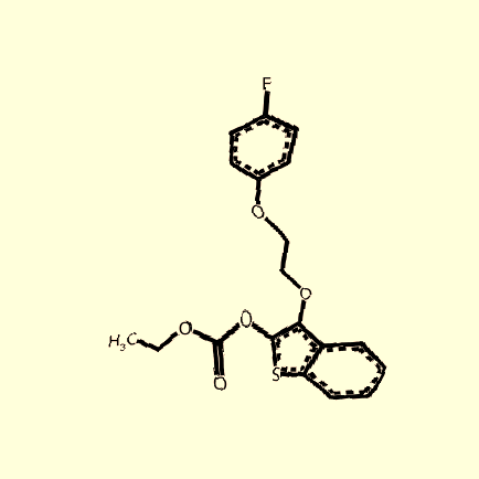 CCOC(=O)Oc1sc2ccccc2c1OCCOc1ccc(F)cc1